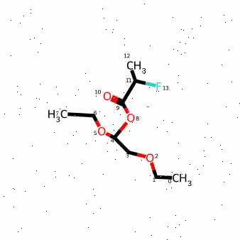 CCOC[C](OCC)OC(=O)C(C)F